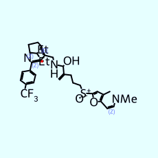 C=C(CCC[S+]([O-])c1cc(C)c(/C=C\NC)o1)C(O)NCC1=C/CC/C(C(CC)CC)=N/C(c2ccc(C(F)(F)F)cc2)=C\1